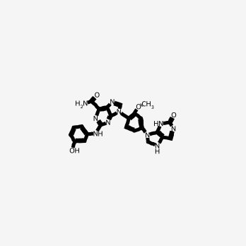 COc1cc(N2CNc3cnc(=O)[nH]c32)ccc1-n1cnc2c(C(N)=O)nc(Nc3cccc(O)c3)nc21